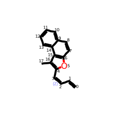 C=C/C=C\c1oc2ccc3ccccc3c2c1C